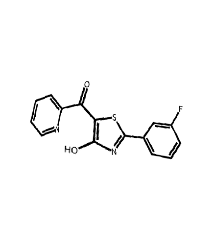 O=C(c1ccccn1)c1sc(-c2cccc(F)c2)nc1O